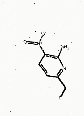 Nc1nc(CI)ccc1[N+](=O)[O-]